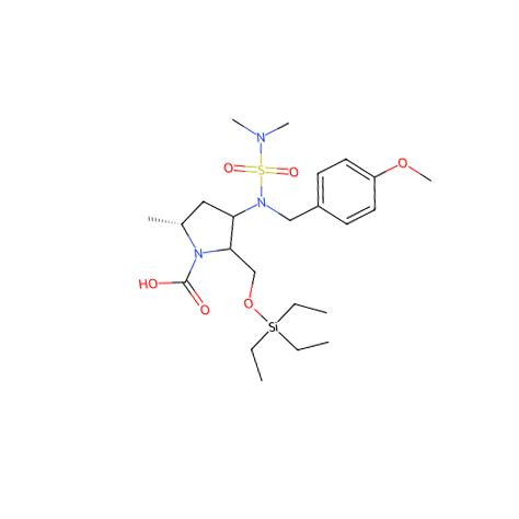 CC[Si](CC)(CC)OCC1C(N(Cc2ccc(OC)cc2)S(=O)(=O)N(C)C)C[C@@H](C)N1C(=O)O